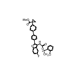 COC(=O)C1(c2ccc(-c3ccc(-c4oc5ccc(F)cc5c4NC(=O)O[C@H](C)c4ccccc4Cl)cc3)cc2)CC1